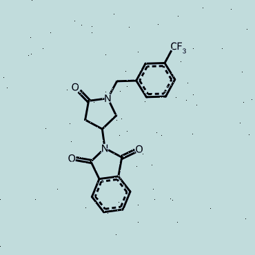 O=C1CC(N2C(=O)c3ccccc3C2=O)CN1Cc1cccc(C(F)(F)F)c1